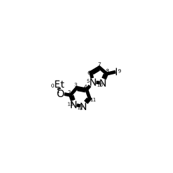 CCOc1cc(-n2ccc(I)n2)cnn1